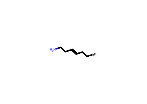 CCCCC/C=C/CCN